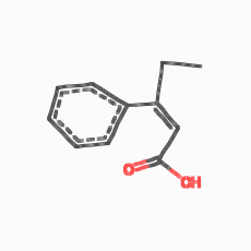 CC/C(=C/C(=O)O)c1ccccc1